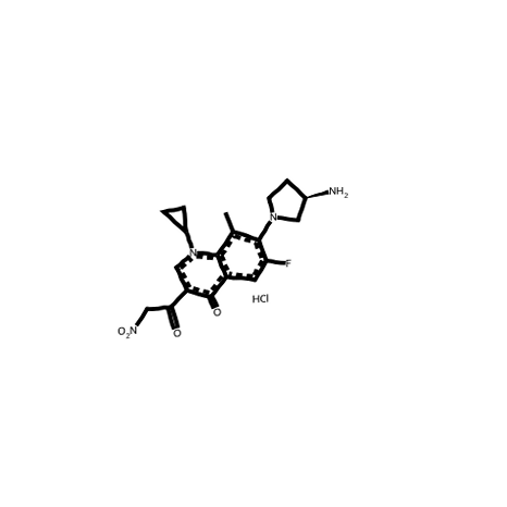 Cc1c(N2CC[C@@H](N)C2)c(F)cc2c(=O)c(C(=O)C[N+](=O)[O-])cn(C3CC3)c12.Cl